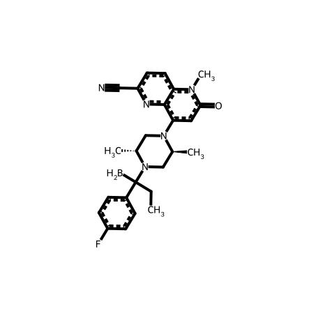 BC(CC)(c1ccc(F)cc1)N1C[C@H](C)N(c2cc(=O)n(C)c3ccc(C#N)nc23)C[C@H]1C